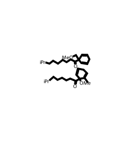 COC1(C(=O)CCCCCC(C)C)C=CCC=C1C.COCC1(C(=O)CCCCCCC(C)C)C=CCC=C1